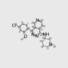 COc1cc(Cl)ccc1-c1nnc(NC2CCCN(C)C2)c2ccncc12